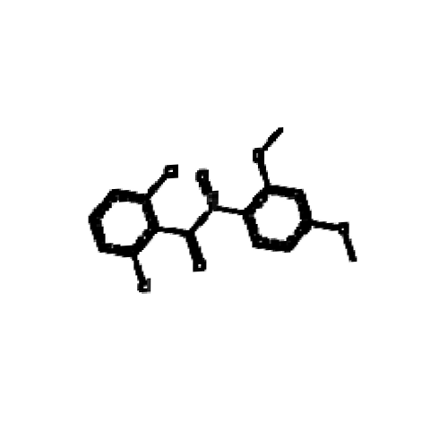 COc1ccc([PH](=O)C(=O)c2c(Cl)cccc2Cl)c(OC)c1